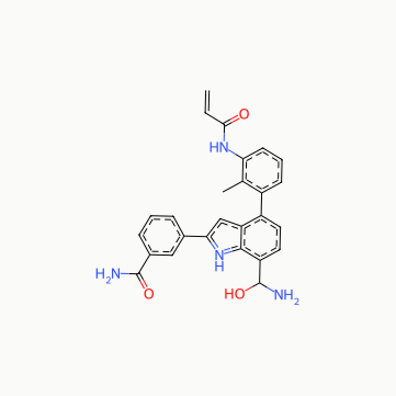 C=CC(=O)Nc1cccc(-c2ccc(C(N)O)c3[nH]c(-c4cccc(C(N)=O)c4)cc23)c1C